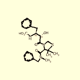 CN(Cc1ccccc1)C(=O)C1N(C(=O)[C@@H](O)[C@H](Cc2ccccc2)NC(=O)O)CSC1(C)C